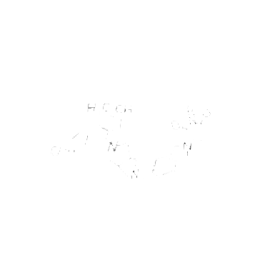 CC1(C)CCC(CN2CC3CN(Cc4ccc5c(c4)CN(C4CCC(=O)NC4=O)C5)CC3C2)=C(c2ccc(Cl)cc2)C1